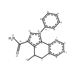 CC1Cc2cncnc2-c2c1c(C(N)=O)nn2-c1ccccc1